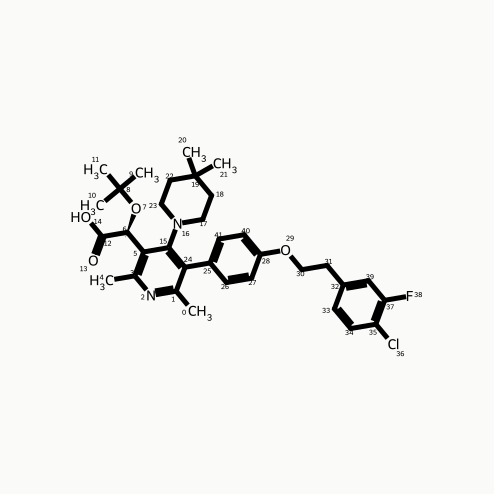 Cc1nc(C)c([C@H](OC(C)(C)C)C(=O)O)c(N2CCC(C)(C)CC2)c1-c1ccc(OCCc2ccc(Cl)c(F)c2)cc1